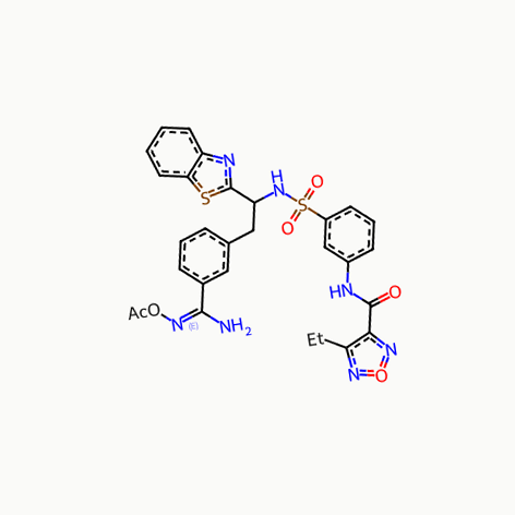 CCc1nonc1C(=O)Nc1cccc(S(=O)(=O)NC(Cc2cccc(/C(N)=N\OC(C)=O)c2)c2nc3ccccc3s2)c1